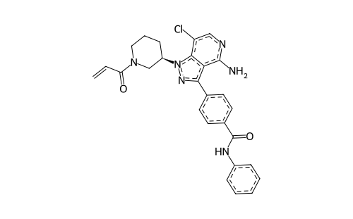 C=CC(=O)N1CCC[C@@H](n2nc(-c3ccc(C(=O)Nc4ccccc4)cc3)c3c(N)ncc(Cl)c32)C1